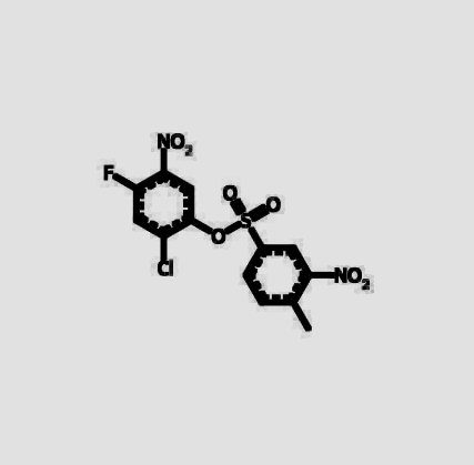 Cc1ccc(S(=O)(=O)Oc2cc([N+](=O)[O-])c(F)cc2Cl)cc1[N+](=O)[O-]